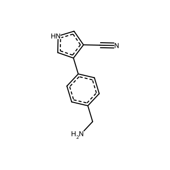 N#Cc1c[nH]cc1-c1ccc(CN)cc1